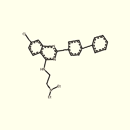 CCN(CC)CCNc1nc(-c2ccc(-c3ccccc3)cc2)nc2cc(Cl)ccc12